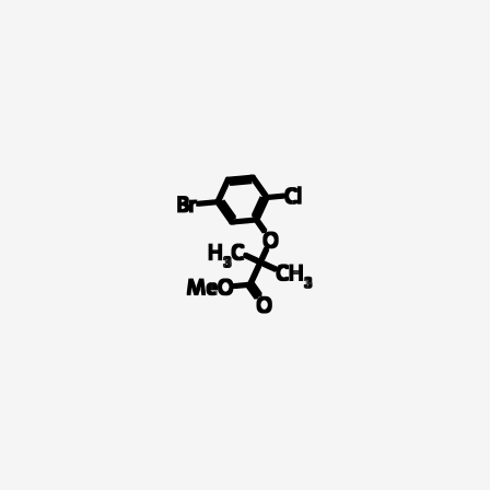 COC(=O)C(C)(C)Oc1cc(Br)ccc1Cl